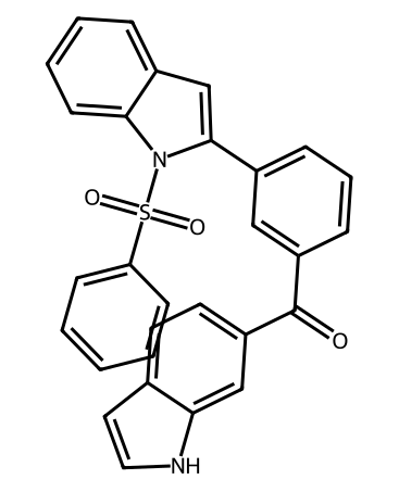 O=C(c1cccc(-c2cc3ccccc3n2S(=O)(=O)c2ccccc2)c1)c1ccc2cc[nH]c2c1